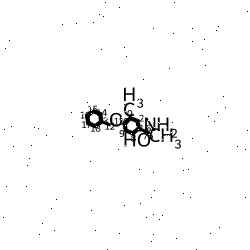 Cc1cc(C(C)(N)O)ccc1OCc1ccccc1